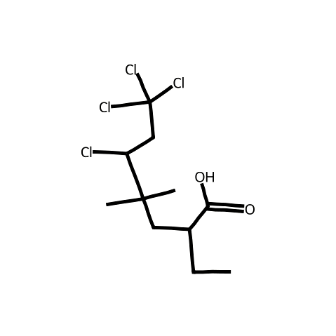 CCC(CC(C)(C)C(Cl)CC(Cl)(Cl)Cl)C(=O)O